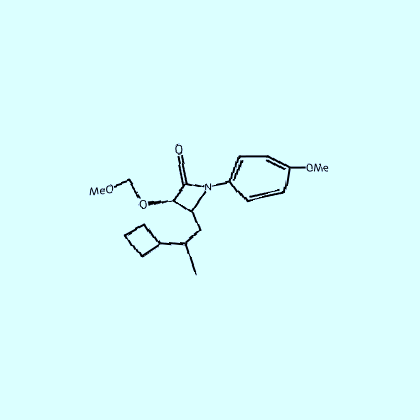 COCO[C@H]1C(=O)N(c2ccc(OC)cc2)C1CC(C)C1CCC1